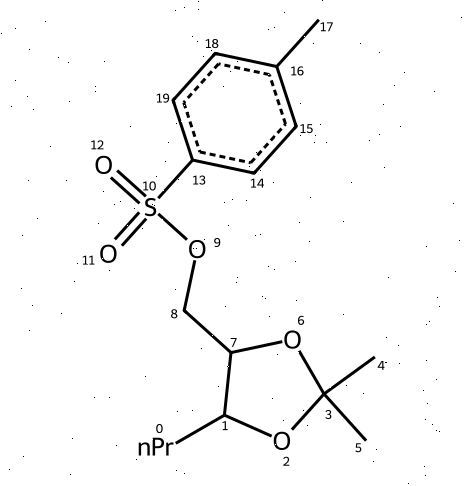 CCCC1OC(C)(C)OC1COS(=O)(=O)c1ccc(C)cc1